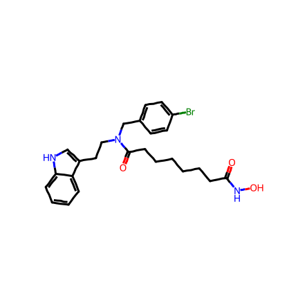 O=C(CCCCCCC(=O)N(CCc1c[nH]c2ccccc12)Cc1ccc(Br)cc1)NO